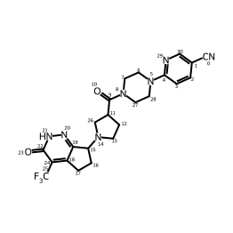 N#Cc1ccc(N2CCN(C(=O)C3CCN(C4CCc5c4n[nH]c(=O)c5C(F)(F)F)C3)CC2)nc1